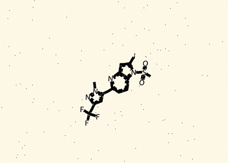 Cn1nc(C(F)(F)F)cc1-c1ccc2c(cc(I)n2S(C)(=O)=O)n1